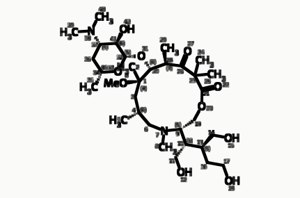 CO[C@]1(C)C[C@@H](C)CN(C)[C@@H]([C@@H](CO)[C@@H](CO)CCO)COC(=O)C(C)(C)C(=O)[C@H](C)[C@H]1O[C@@H]1O[C@H](C)C[C@H](N(C)C)[C@H]1O